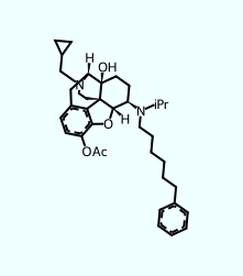 CC(=O)Oc1ccc2c3c1O[C@H]1[C@H](N(CCCCCCc4ccccc4)C(C)C)CC[C@@]4(O)[C@@H](C2)N(CC2CC2)CC[C@]314